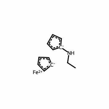 CCN[c-]1cccc1.[Fe+2].c1cc[cH-]c1